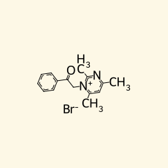 Cc1cc(C)[n+](CC(=O)c2ccccc2)c(C)n1.[Br-]